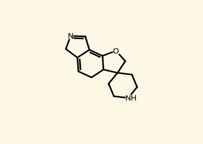 C1=NCC2=CCC3C(=C12)OCC31CCNCC1